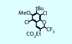 CCOC(=O)C1=Cc2c(Cl)c(OC)c(C(C)(C)C)c(Cl)c2OC1C(F)(F)F